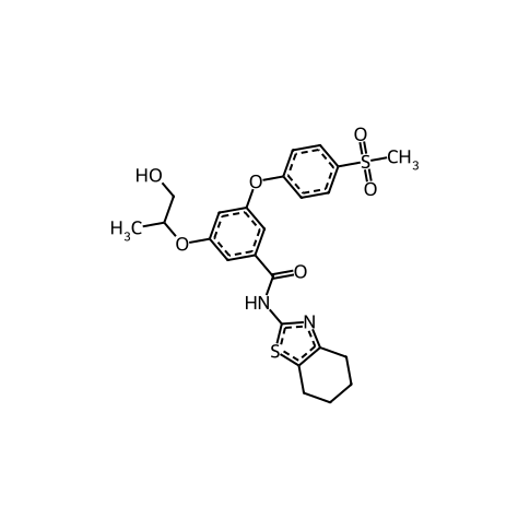 CC(CO)Oc1cc(Oc2ccc(S(C)(=O)=O)cc2)cc(C(=O)Nc2nc3c(s2)CCCC3)c1